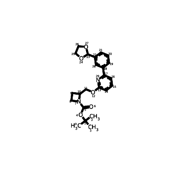 CC(C)(C)OC(=O)N1CCC1COc1cccc(-c2cccc(C3OCCO3)c2)n1